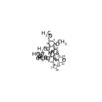 COCc1cc(OC)c(-c2csc3c(N(CC4CCC4)C4CCOCC4)c(OC)nn23)c(OC)c1.CS(=O)(=O)O